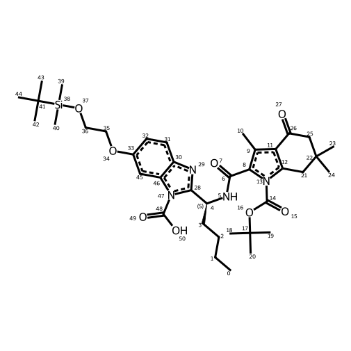 CCCC[C@H](NC(=O)c1c(C)c2c(n1C(=O)OC(C)(C)C)CC(C)(C)CC2=O)c1nc2ccc(OCCO[Si](C)(C)C(C)(C)C)cc2n1C(=O)O